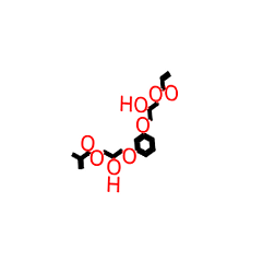 C=CC(=O)OCC(O)COc1cccc(OCC(O)COC(=O)C(=C)C)c1